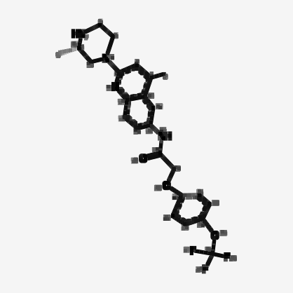 Cc1cc(N2CCN[C@@H](C)C2)nc2ccc(NC(=O)COc3ccc(OC(F)(F)F)cc3)cc12